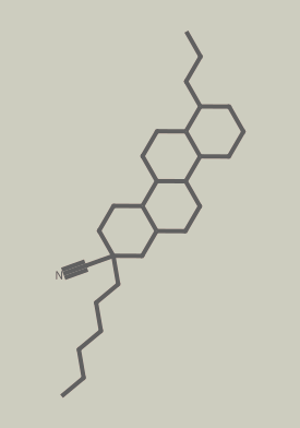 CCCCCCC1(C#N)CCC2C(CCC3C4CCCC(CCC)C4CCC23)C1